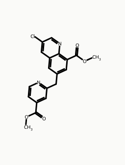 COC(=O)c1ccnc(Cc2cc(C(=O)OC)c3ncc(Cl)cc3c2)c1